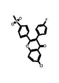 CS(=O)(=O)c1ccc(-c2oc3ccc(Cl)cc3c(=O)c2-c2ccc(F)cc2)cc1